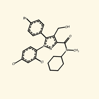 CN(C(=O)c1nn(-c2ccc(Cl)cc2Cl)c(-c2ccc(Br)cc2)c1CO)C1CCCCC1